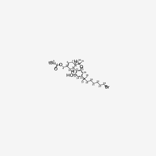 CC(C)(C)C(=O)OCC1=CC[C@H]2[C@H](C1)c1c(O)cc(C(C)(C)CCCCCCBr)cc1OC2(C)C